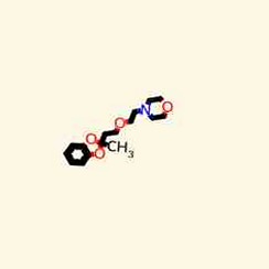 CC1(CCOCCN2CCOCC2)Oc2ccccc2O1